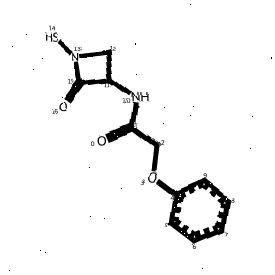 O=C(COc1ccccc1)NC1CN(S)C1=O